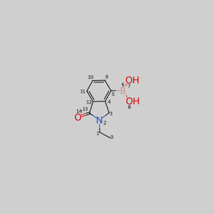 CCN1Cc2c(B(O)O)cccc2C1=O